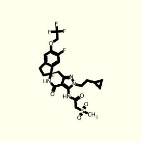 CS(=O)(=O)CC(=O)Nc1c2c(nn1CCC1CC1)C[C@]1(CCc3cc(OCC(F)(F)F)c(F)cc31)NC2=O